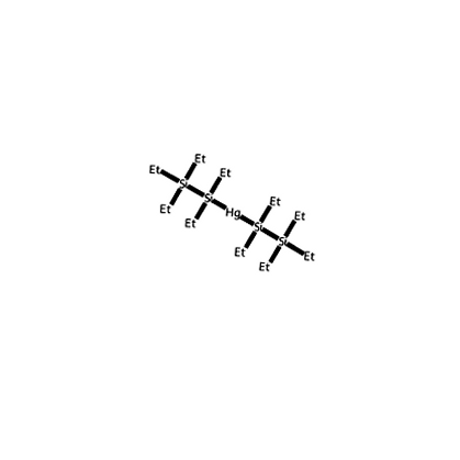 CC[Si](CC)(CC)[Si](CC)(CC)[Hg][Si](CC)(CC)[Si](CC)(CC)CC